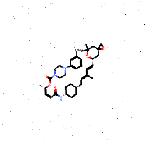 COc1cccc(N2CCN(C(=O)O[C@@H](C)/C=C\C(=O)N[C@H]3CC[C@H](C/C=C(C)/C=C/[C@@H]4C[C@]5(CO5)CC(C)(C)O4)CC3)CC2)c1